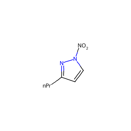 CCCc1ccn([N+](=O)[O-])n1